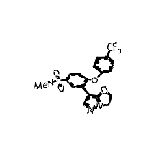 CNS(=O)(=O)c1ccc(Oc2ccc(C(F)(F)F)cc2)c(-c2cnn3c2OCC3)c1